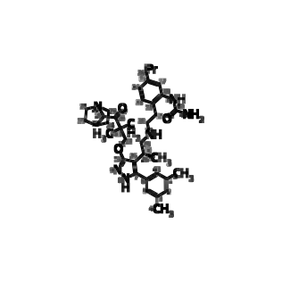 Cc1cc(C)cc(-c2[nH]nc(OCC(C)(C)C(=O)C3C4CCN3CC4)c2[C@H](C)CNCCc2ccc(C(C)C)cc2NC(N)=O)c1